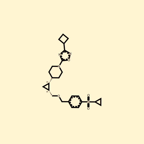 O=S(=O)(c1ccc(COC[C@@H]2C[C@@H]2C2CCN(c3nc(C4CCC4)no3)CC2)cc1)C1CC1